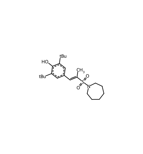 C/C(=C\c1cc(C(C)(C)C)c(O)c(C(C)(C)C)c1)S(=O)(=O)N1CCCCCC1